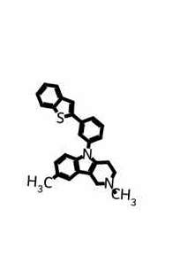 Cc1ccc2c(c1)c1c(n2-c2cccc(-c3cc4ccccc4s3)c2)CCN(C)C1